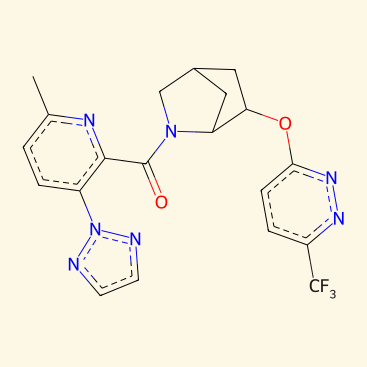 Cc1ccc(-n2nccn2)c(C(=O)N2CC3CC(Oc4ccc(C(F)(F)F)nn4)C2C3)n1